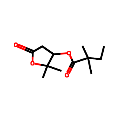 CCC(C)(C)C(=O)OC1CC(=O)OC1(C)C